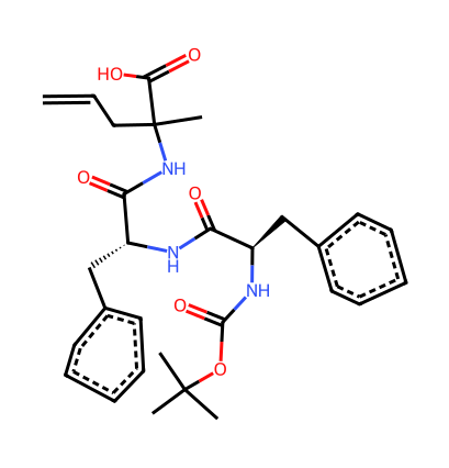 C=CCC(C)(NC(=O)[C@@H](Cc1ccccc1)NC(=O)[C@@H](Cc1ccccc1)NC(=O)OC(C)(C)C)C(=O)O